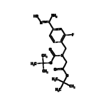 CC(C)(C)OC(=O)CN(Cc1ccc(C(N)=NO)cc1F)C(=O)OC(C)(C)C